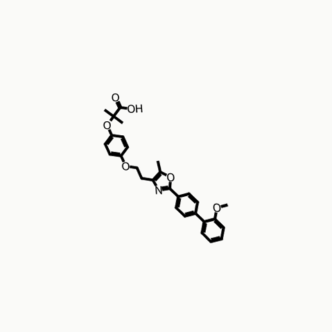 COc1ccccc1-c1ccc(-c2nc(CCOc3ccc(OC(C)(C)C(=O)O)cc3)c(C)o2)cc1